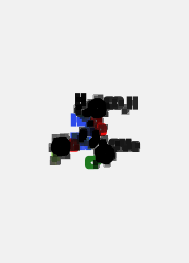 COc1ccc(Cl)cc1C[C@@H]1CN/C(=N\Oc2cccc(F)c2)CN(C(=O)N[C@H](C)c2ccc(C(=O)O)cc2)C1=O